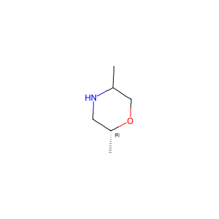 CC1CO[C@H](C)CN1